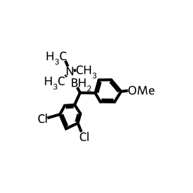 BC(c1ccc(OC)cc1)c1cc(Cl)cc(Cl)c1.CN(C)C